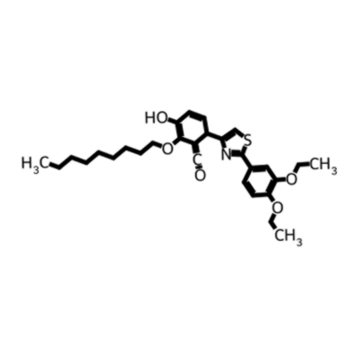 CCCCCCCCCOC1=C(O)C=CC(c2csc(-c3ccc(OCC)c(OCC)c3)n2)C1=C=O